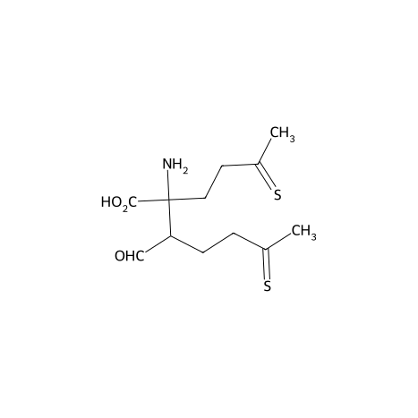 CC(=S)CCC(C=O)C(N)(CCC(C)=S)C(=O)O